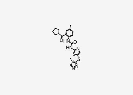 Cc1ccc(NC(=O)Nc2ncc(Sc3nncn3C)s2)c(C(=O)C2CCCC2)c1